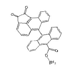 BOC(=O)c1c2ccccc2c(-c2c3ccccc3c3c4c(cccc24)C(=O)C3=O)c2ccccc12